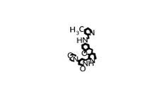 Cc1ccnc(CNc2ccc3c(c2)Cc2ccnc(-c4cc(N5CCOCC5)cc(=O)[nH]4)c2O3)c1